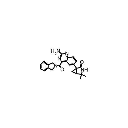 CC1(C)NC(=O)C2(c3ccc4nc(N)nc(C(=O)N5Cc6ccccc6C5)c4c3)CC12